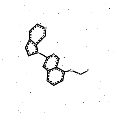 FCOc1cccc2cc(-n3ccc4ccncc43)ncc12